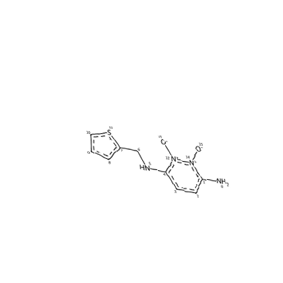 Nc1ccc(NCc2cccs2)[n+]([O-])[n+]1[O-]